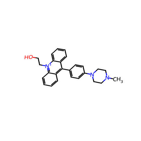 CN1CCN(c2ccc(-c3c4ccccc4[n+](CCO)c4ccccc34)cc2)CC1